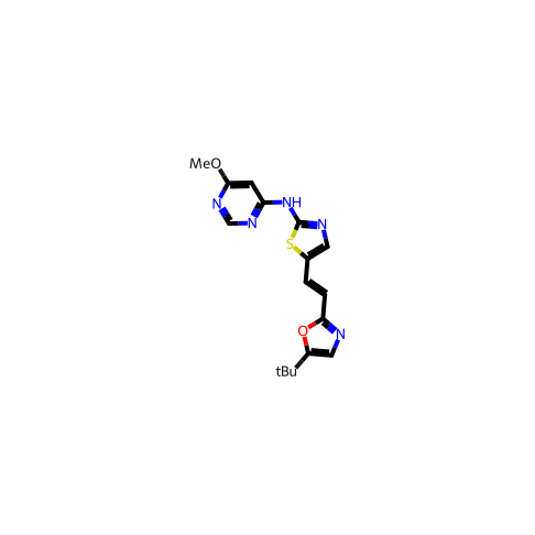 COc1cc(Nc2ncc(/C=C/c3ncc(C(C)(C)C)o3)s2)ncn1